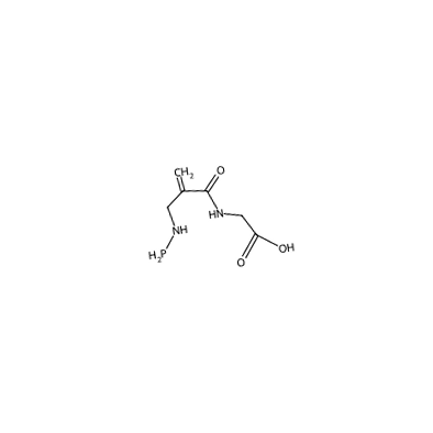 C=C(CNP)C(=O)NCC(=O)O